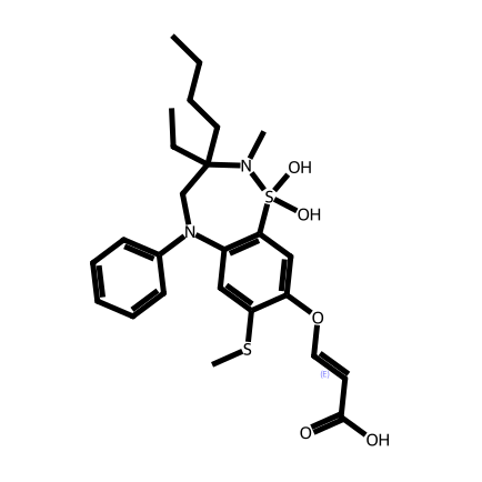 CCCCC1(CC)CN(c2ccccc2)c2cc(SC)c(O/C=C/C(=O)O)cc2S(O)(O)N1C